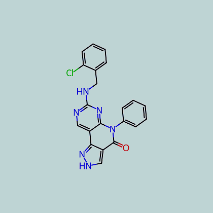 O=c1c2c[nH]nc2c2cnc(NCc3ccccc3Cl)nc2n1-c1ccccc1